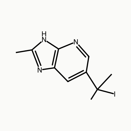 Cc1nc2cc(C(C)(C)I)cnc2[nH]1